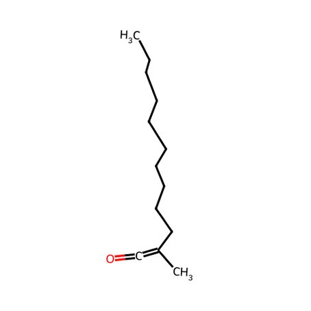 CCCCCCCCCCC(C)=C=O